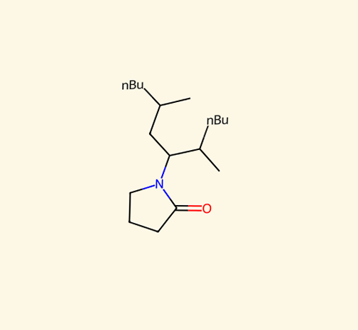 CCCCC(C)CC(C(C)CCCC)N1CCCC1=O